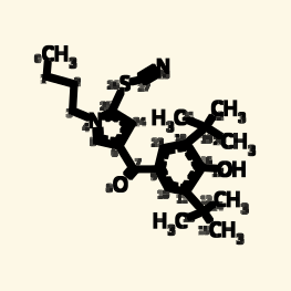 CCCCn1cc(C(=O)c2cc(C(C)(C)C)c(O)c(C(C)(C)C)c2)cc1SC#N